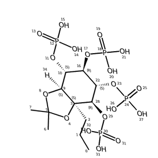 CCC[C@]12OC(C)(C)O[C@H]1[C@H](OP(=O)(O)O)[C@@H](OP(=O)(O)O)[C@H](OP(=O)(O)O)[C@H]2OP(=O)(O)O